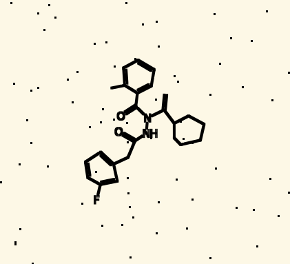 C=C(C1CCCCC1)N(NC(=O)Cc1cccc(F)c1)C(=O)c1ccccc1C